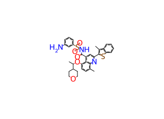 Cc1c(-c2cc(C(=O)NS(=O)(=O)c3cccc(N)c3)c3c(OC(C)C4CCOCC4)ccc(C)c3n2)sc2ccccc12